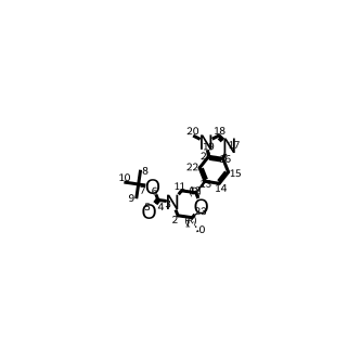 C[C@@H]1CN(C(=O)OC(C)(C)C)C[C@@H](c2ccc3ncn(C)c3c2)O1